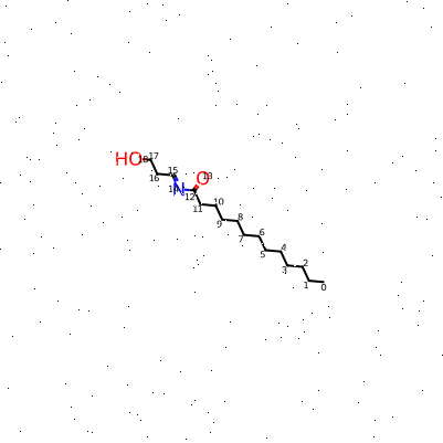 CCCCCCCCCCCCC(=O)N=CCCO